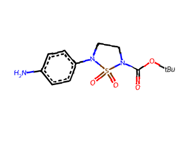 CC(C)(C)OC(=O)N1CCN(c2ccc(N)cc2)S1(=O)=O